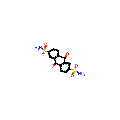 NS(=O)(=O)c1ccc2c(c1)C(=O)c1ccc(S(N)(=O)=O)cc1C2=O